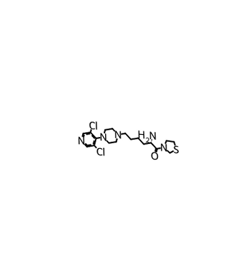 N[C@@H](CCCCN1CCN(c2c(Cl)cncc2Cl)CC1)C(=O)N1CCSC1